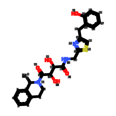 CCC1c2ccccc2CCN1C(=O)[C@H](O)[C@@H](O)C(=O)NCc1nc(Cc2ccccc2O)cs1